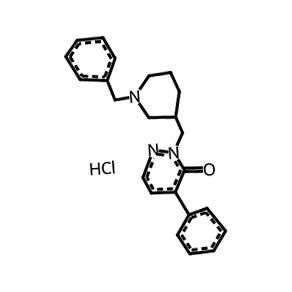 Cl.O=c1c(-c2ccccc2)ccnn1CC1CCCN(Cc2ccccc2)C1